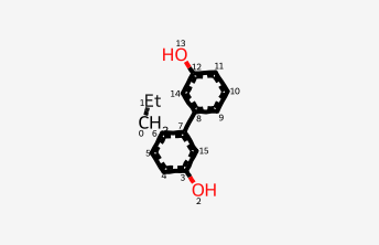 CCC.Oc1cccc(-c2cccc(O)c2)c1